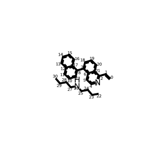 C=Cc1nccc2c(-c3cccc4ccccc34)cccc12.CCCCNCCCC